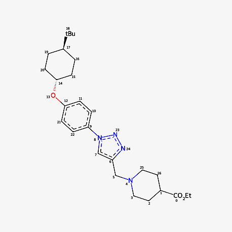 CCOC(=O)C1CCN(Cc2cn(-c3ccc(O[C@H]4CC[C@H](C(C)(C)C)CC4)cc3)nn2)CC1